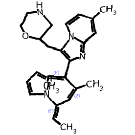 C\C=C(/C(C)=C\C(=C/C)n1cccn1)c1nc2cc(C)ccn2c1CC1CNCCO1